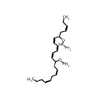 CC/C=C\CC(\C=C/C=C\C=C/C(C/C=C\C/C=C\CCC)OP)OPP